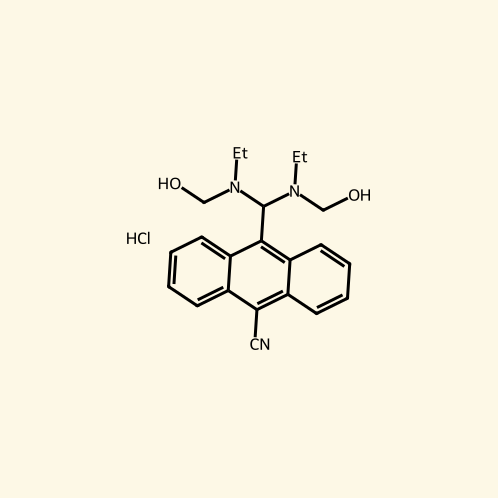 CCN(CO)C(c1c2ccccc2c(C#N)c2ccccc12)N(CC)CO.Cl